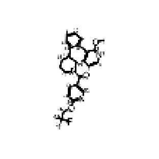 COc1ncccc1-c1ccccc1C1CCCN(C(=O)c2ccc(OCC(F)(F)F)nc2)C1